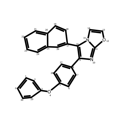 c1ccc(Oc2ccc(-c3nc4occn4c3-c3ccc4ccccc4c3)cc2)cc1